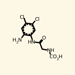 Nc1cc(Cl)c(Cl)cc1NC(=O)CNC(=O)O